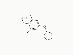 Cc1cc(OC2CCCC2)cc(C)c1CC=O